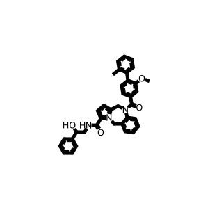 COc1cc(C(=O)N2Cc3ccc(C(=O)NCC(O)c4ccccc4)n3Cc3ccccc32)ccc1-c1ccccc1C